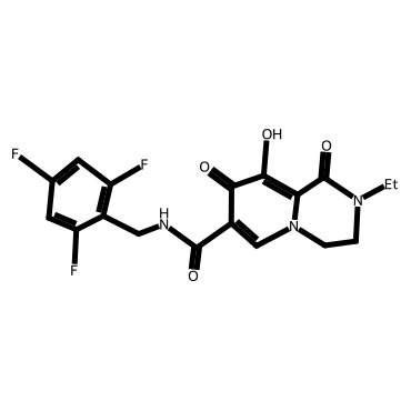 CCN1CCn2cc(C(=O)NCc3c(F)cc(F)cc3F)c(=O)c(O)c2C1=O